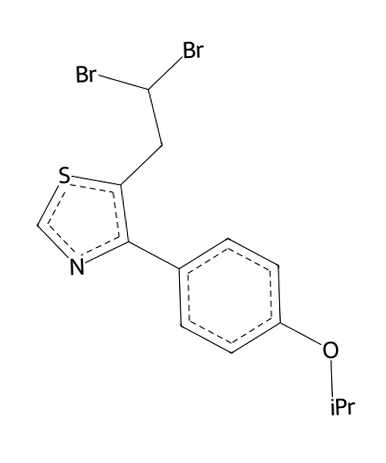 CC(C)Oc1ccc(-c2ncsc2CC(Br)Br)cc1